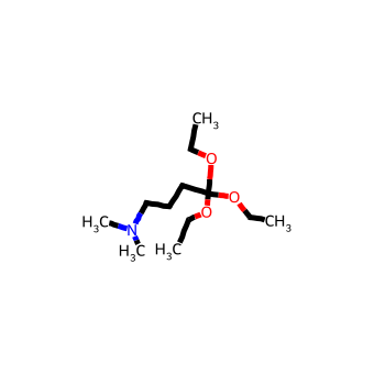 CCOC(CCCN(C)C)(OCC)OCC